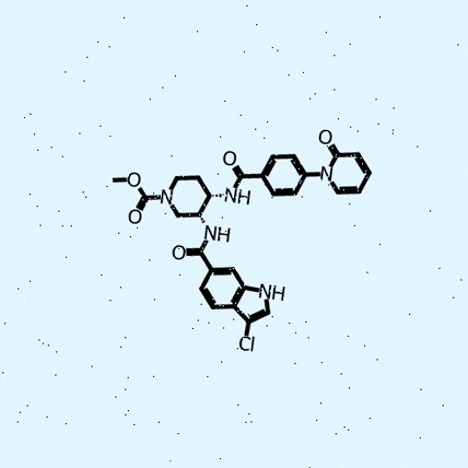 COC(=O)N1CC[C@H](NC(=O)c2ccc(-n3ccccc3=O)cc2)[C@H](NC(=O)c2ccc3c(Cl)c[nH]c3c2)C1